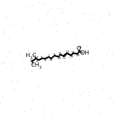 CCC(C)CCCCCCCCC=CCCCC(=O)O